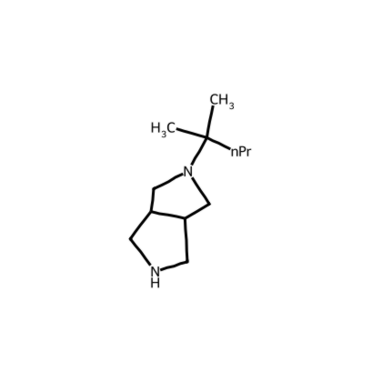 CCCC(C)(C)N1CC2CNCC2C1